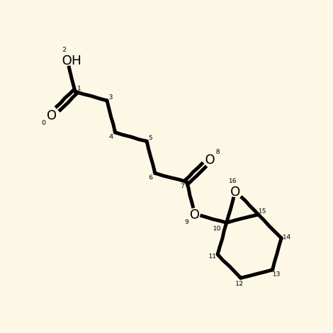 O=C(O)CCCCC(=O)OC12CCCCC1O2